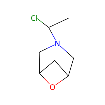 CC(Cl)N1CC2CC(C1)O2